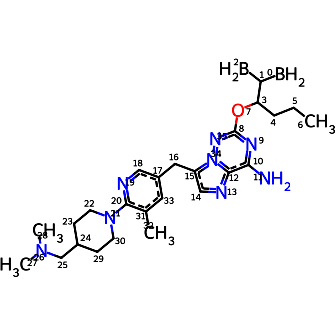 BC(B)C(CCC)Oc1nc(N)c2ncc(Cc3cnc(N4CCC(CN(C)C)CC4)c(C)c3)n2n1